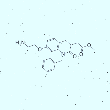 COC(=O)CC1Cc2ccc(OCCN)cc2N(Cc2ccccc2)C1=O